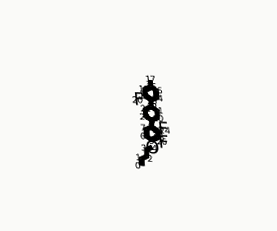 C=CCCOc1ccc(C2CCC(c3ccc(C)cc3F)CC2)c(F)c1F